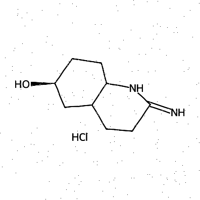 Cl.N=C1CCC2C[C@@H](O)CCC2N1